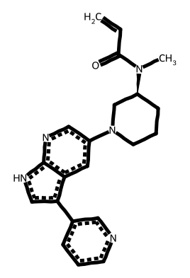 C=CC(=O)N(C)[C@H]1CCCN(c2cnc3[nH]cc(-c4cccnc4)c3c2)C1